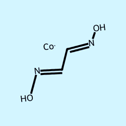 ON=CC=NO.[Co]